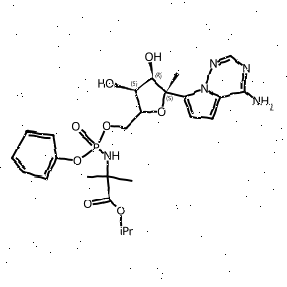 CC(C)OC(=O)C(C)(C)NP(=O)(OCC1O[C@@](C)(c2ccc3c(N)ncnn23)[C@H](O)[C@@H]1O)Oc1ccccc1